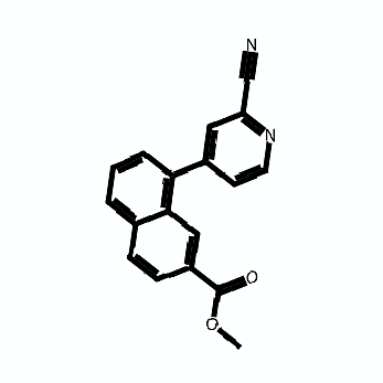 COC(=O)c1ccc2cccc(-c3ccnc(C#N)c3)c2c1